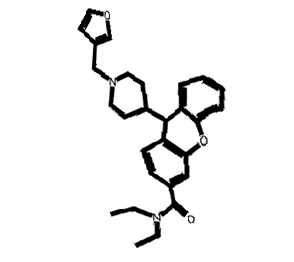 CCN(CC)C(=O)c1ccc2c(c1)Oc1ccccc1C2C1CCN(Cc2ccoc2)CC1